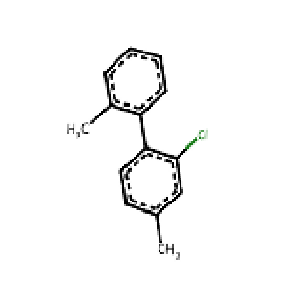 Cc1ccc(-c2ccccc2C)c(Cl)c1